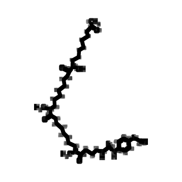 CC(=O)CCCCCCCN(O)C(=O)CCCCCCCN(C)C(=O)CCCCCCCN(C)C(=O)CCCNC(=S)Nc1ccc(SC#N)cc1